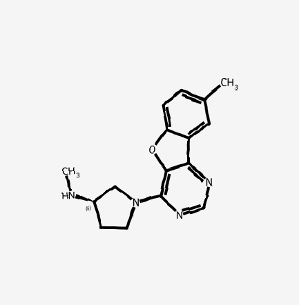 CN[C@@H]1CCN(c2ncnc3c2oc2ccc(C)cc23)C1